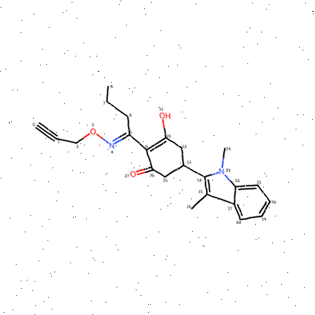 C#CCON=C(CCC)C1=C(O)CC(c2c(C)c3ccccc3n2C)CC1=O